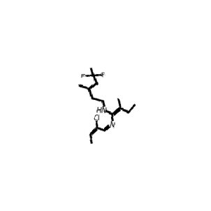 C\C=C(Cl)/C=N\C(NCCC(C)CC(C)(F)F)=C(\C)CC